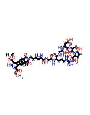 COC(=O)C1=NNC(C(=O)OC)=C2C1C1C2C2C=CC1[C@@H]1C(=O)N(CCCC[C@H](N)C(=O)NCC(=O)NC(CCCNC(=N)N)C(=O)NCC(=O)NC(CC(=O)O)C(=O)NC(CO)C(=O)N3CCCC3C(=O)O)C(=O)C21